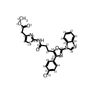 COC(=O)Cc1csc(NC(=O)CCc2oc(-n3cnc4ccccc43)nc2-c2ccc(Cl)cc2)n1